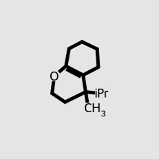 CC(C)C1(C)CCOC2=C1CCCC2